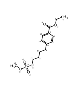 CCOC(=O)c1ccc(CCCCOS(=O)(=O)OC)cc1